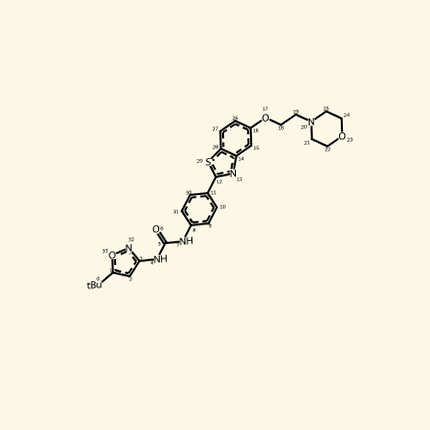 CC(C)(C)c1cc(NC(=O)Nc2ccc(-c3nc4cc(OCCN5CCOCC5)ccc4s3)cc2)no1